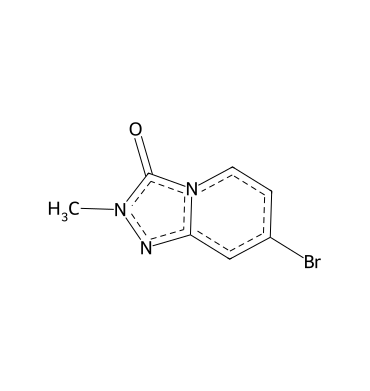 Cn1nc2cc(Br)ccn2c1=O